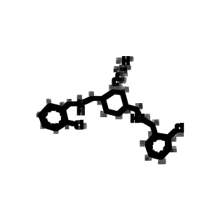 Clc1ccccc1CNCC1CCC(CNCc2ccccc2Cl)CC1.[Cl-].[Cl-].[H+].[H+]